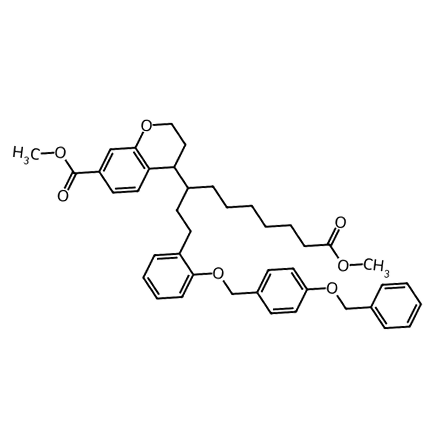 COC(=O)CCCCCCC(CCc1ccccc1OCc1ccc(OCc2ccccc2)cc1)C1CCOc2cc(C(=O)OC)ccc21